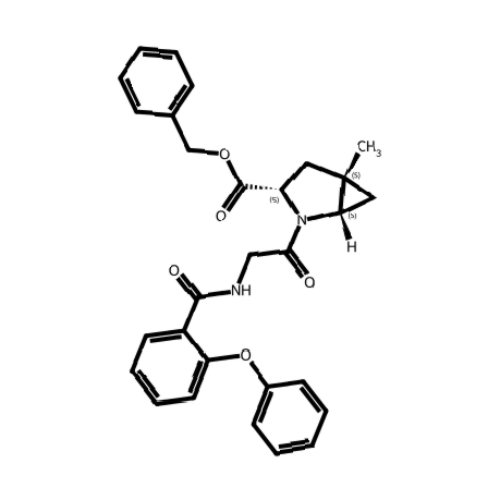 C[C@@]12C[C@@H]1N(C(=O)CNC(=O)c1ccccc1Oc1ccccc1)[C@H](C(=O)OCc1ccccc1)C2